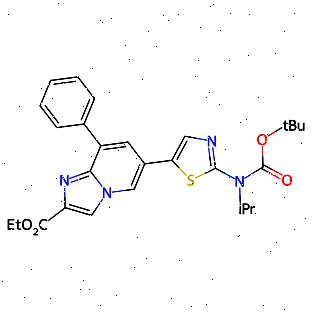 CCOC(=O)c1cn2cc(-c3cnc(N(C(=O)OC(C)(C)C)C(C)C)s3)cc(-c3ccccc3)c2n1